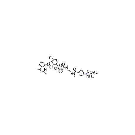 CC(=O)O/N=C(\N)c1ccc(C(=O)N(C)CCCN(C)C(=O)[C@@H]2CCCN2S(=O)(=O)c2ccc(Cl)c(COc3cccc4c(C)cc(C)nc34)c2Cl)cc1